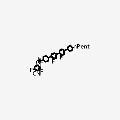 CCCCCC1CCC(c2ccc(-c3ccc(C4CCC(C(F)(F)Oc5cc(F)c(C#N)c(F)c5)CC4)c(F)c3)c(F)c2)CC1